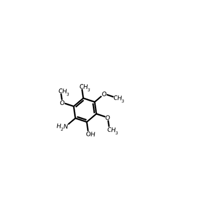 COc1c(C)c(OC)c(OC)c(O)c1N